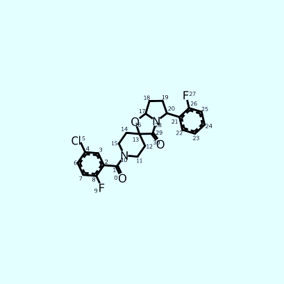 O=C(c1cc(Cl)ccc1F)N1CCC2(CC1)OC1CCC(c3ccccc3F)N1C2=O